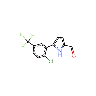 O=Cc1ccc(-c2cc(C(F)(F)F)ccc2Cl)[nH]1